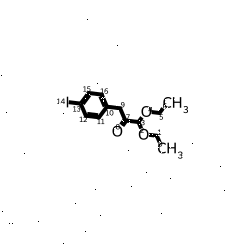 CCOC(OCC)C(=O)Cc1ccc(I)cc1